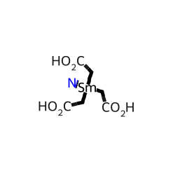 [N]#[Sm]([CH2]C(=O)O)([CH2]C(=O)O)[CH2]C(=O)O